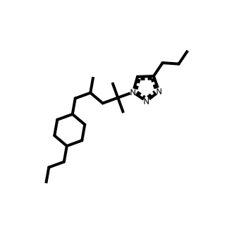 CCCc1cn(C(C)(C)CC(C)CC2CCC(CCC)CC2)nn1